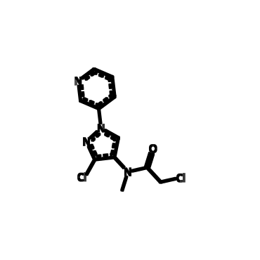 CN(C(=O)CCl)c1cn(-c2cccnc2)nc1Cl